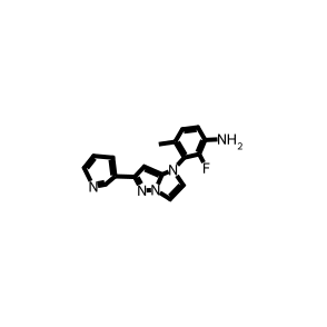 Cc1ccc(N)c(F)c1-n1ccn2nc(-c3cccnc3)cc12